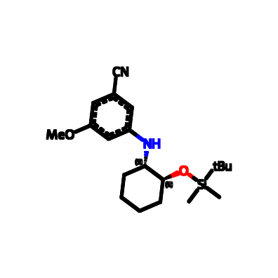 COc1cc(C#N)cc(N[C@H]2CCCC[C@@H]2O[Si](C)(C)C(C)(C)C)c1